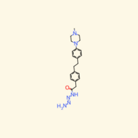 CN1CCN(c2ccc(CCc3ccc(CC(=O)NN=NN)cc3)cc2)CC1